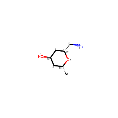 C[C@@H]1C[C@@H](O)C[C@H](CN)O1